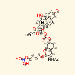 CCCC1O[C@@H]2C[C@H]3[C@@H]4CCC5=CC(=O)C=C[C@]5(C)[C@H]4[C@@H](O)C[C@]3(C)C2(C(=O)COC(=O)Oc2ccc(CC(NC(C)=O)C(=O)OCCCCON(O)O)cc2)O1